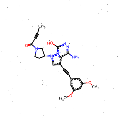 CC#CC(=O)N1CC[C@H](n2cc(C#Cc3cc(OC)cc(OC)c3)c3c(N)nnc(O)[n+]32)C1